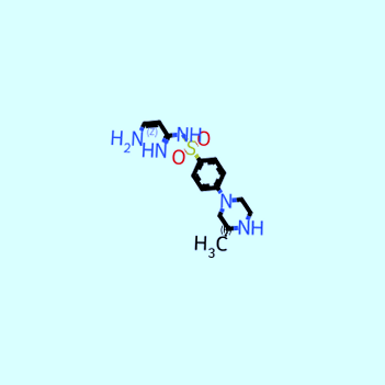 C[C@@H]1CN(c2ccc(S(=O)(=O)NC(=N)/C=C\N)cc2)CCN1